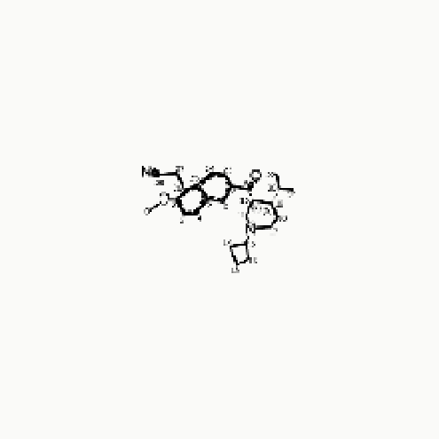 COc1ccc2cc(C(=O)[C@H]3CN(C4CCC4)CC[C@H]3C(C)C)ccc2c1CC#N